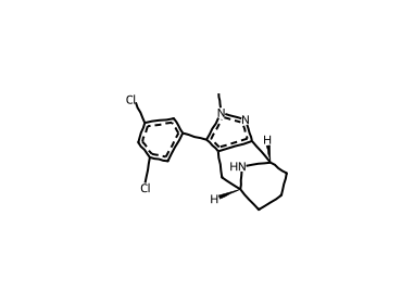 Cn1nc2c(c1-c1cc(Cl)cc(Cl)c1)C[C@H]1CCC[C@@H]2N1